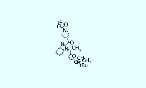 CC(c1ccc(O[Si](C)(C)C(C)(C)C)o1)n1c(C(=O)C2CCN(C(=O)OC(C)(C)C)CC2)nc2ccccc21